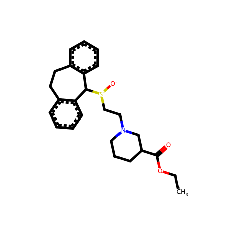 CCOC(=O)C1CCCN(CC[S+]([O-])C2c3ccccc3CCc3ccccc32)C1